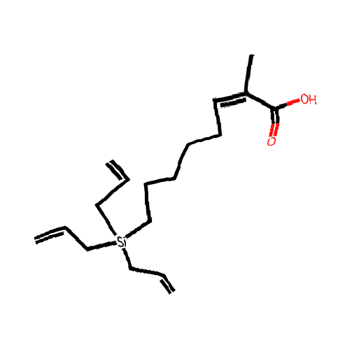 C=CC[Si](CC=C)(CC=C)CCCCCC=C(C)C(=O)O